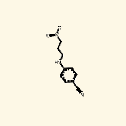 N#Cc1ccc(NCCC[N+](=O)[O-])cc1